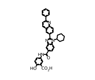 O=C(Nc1ccc(O)c(C(=O)O)c1)c1ccc2c(c1)nc(-c1ccc3nc(-c4ccccc4)ccc3c1)n2C1CCCCC1